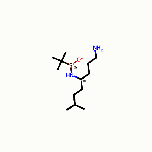 CC(C)CC[C@H](CCCN)N[S@+]([O-])C(C)(C)C